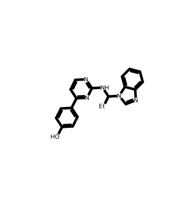 CCC(Nc1nccc(-c2ccc(O)cc2)n1)n1cnc2ccccc21